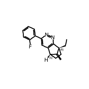 C=C1[C@@H]2CC[C@@]1(CC)c1nnc(-c3ccccc3F)cc12